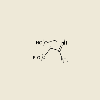 CC(=O)O.CCOC(=O)CC(=N)N